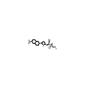 CN(C)c1ccc2cc(-c3ccc(/C=C(\C#N)S(N)(=O)=O)s3)ccc2c1